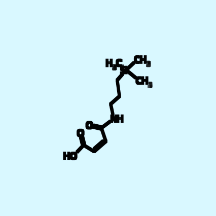 C[Si](C)(C)CCCNC(=O)/C=C\C(=O)O